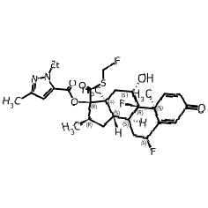 CCn1nc(C)cc1C(=O)O[C@]1(C(=O)SCF)[C@H](C)C[C@H]2[C@@H]3C[C@H](F)C4=CC(=O)C=C[C@]4(C)[C@@]3(F)[C@@H](O)C[C@@]21C